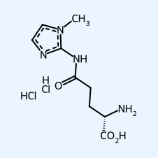 Cl.Cl.Cn1ccnc1NC(=O)CC[C@H](N)C(=O)O